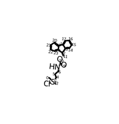 C[Si](C)(Cl)CCCNC(=O)OCC1c2ccccc2-c2ccccc21